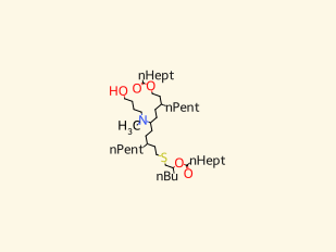 CCCCCCCC(=O)OCCC(CCCCC)CCC(CCC(CCCCC)CCSCC(CCCC)OC(=O)CCCCCCC)N(C)CCCCO